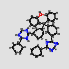 c1ccc(-c2ncnc(-c3cccc(C4(c5cccc(-c6ncnc(-c7ccccc7)n6)c5)c5ccccc5Oc5ccccc54)c3)n2)cc1